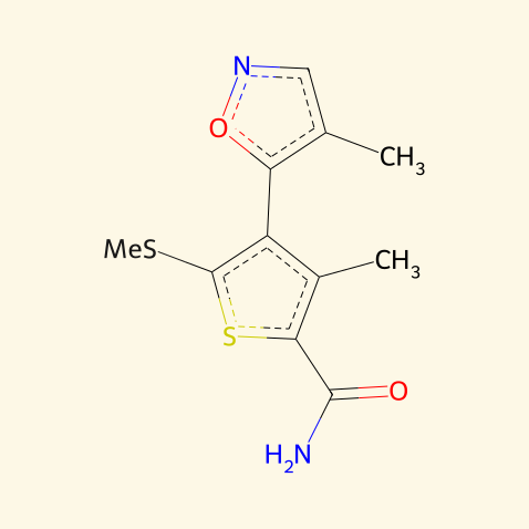 CSc1sc(C(N)=O)c(C)c1-c1oncc1C